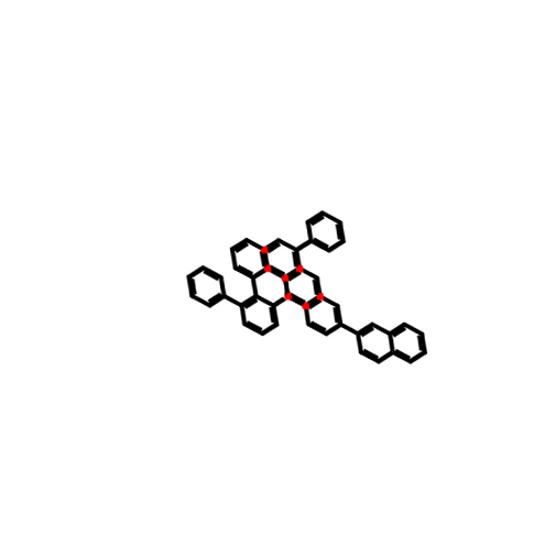 c1ccc(-c2cccc(N(c3ccc(-c4ccc5ccccc5c4)cc3)c3cccc(-c4ccccc4)c3-c3ccccc3-c3ccccc3)c2)cc1